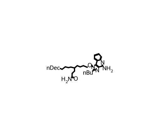 CCCCCCCCCCCCCCC(CCCCOn1c(CCCC)nc2c(N)nc3ccccc3c21)CCC(N)=O